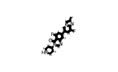 Cc1cn2cc(-c3cc(F)c4c(=O)n(C5=CCNCC5)cnc4c3)cc(F)c2n1